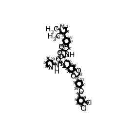 Cc1nccc(-c2ccc(C[C@H](NC(=O)[C@@H]3Cc4cc5c(cc4CN3C(=O)Nc3ccccn3)O[C@@H](c3ccc(OCc4ccc(Cl)c(Cl)c4)cc3)CO5)C(=O)O)cc2)c1C